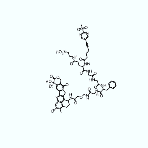 CC[C@@]1(O)C(=O)OCc2c1cc1n(c2=O)Cc2c-1nc1cc(Cl)c(C)c3c1c2[C@@H](NC(=O)COCNC(=O)CNC(=O)C(Cc1ccccc1)NC(=O)CNC(=O)CNC(=O)C(CCC(=O)NCCS(=O)(=O)O)NC(=O)CCCC#Cc1cnc(S(C)(=O)=O)nc1)CC3